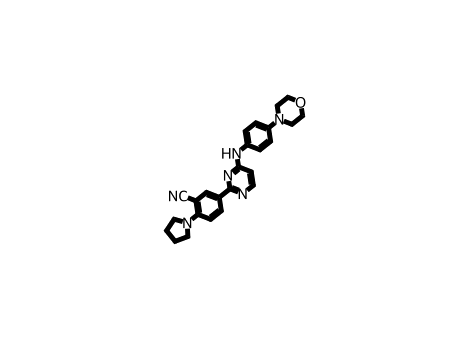 N#Cc1cc(-c2nccc(Nc3ccc(N4CCOCC4)cc3)n2)ccc1N1CCCC1